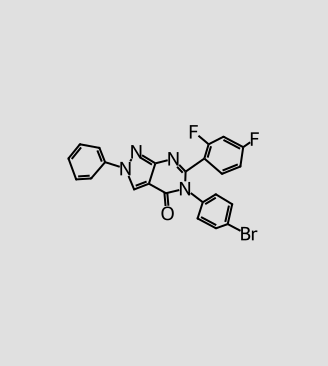 O=c1c2cn(-c3ccccc3)nc2nc(-c2ccc(F)cc2F)n1-c1ccc(Br)cc1